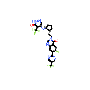 O=c1[nH]ncc(N[C@H]2CCC[C@@H]2CCn2cnc3cc(-c4ncc(C(F)(F)F)cn4)c(F)cc3c2=O)c1C(F)(F)F